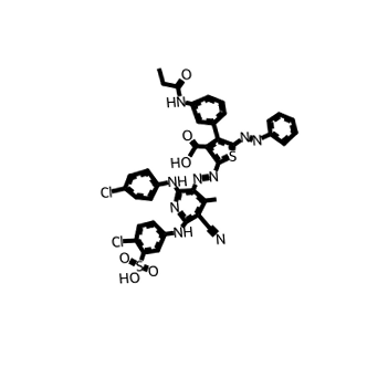 CCC(=O)Nc1cccc(-c2c(N=Nc3ccccc3)sc(N=Nc3c(Nc4ccc(Cl)cc4)nc(Nc4ccc(Cl)c(S(=O)(=O)O)c4)c(C#N)c3C)c2C(=O)O)c1